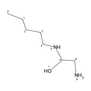 CCCCCNC(O)CN